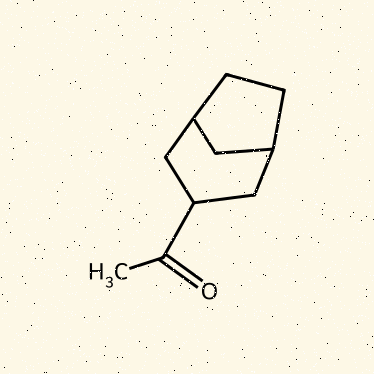 CC(=O)C1CC2CCC(C2)C1